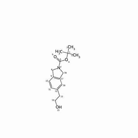 CC(C)(C)OC(=O)N1Cc2ccc(CCO)cc2C1